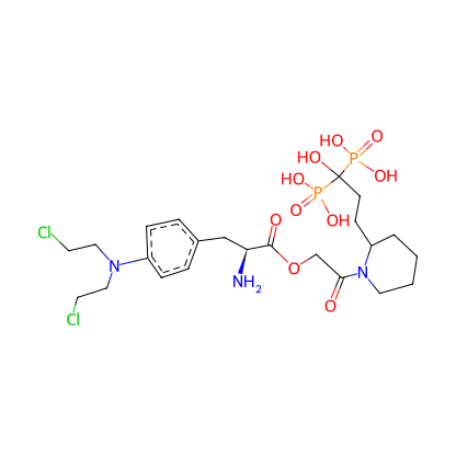 N[C@@H](Cc1ccc(N(CCCl)CCCl)cc1)C(=O)OCC(=O)N1CCCCC1CCC(O)(P(=O)(O)O)P(=O)(O)O